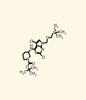 CC(C)(C)OC(=O)N1CCCC(Nc2nc(Cl)nc3c2c(Cl)cn3COCC[Si](C)(C)C)C1